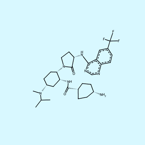 CC(C)N(C)[C@@H]1CC[C@H](N2CC[C@H](Nc3ncnc4ccc(C(F)(F)F)cc34)C2=O)[C@H](NC(=O)[C@H]2CC[C@@H](N)CC2)C1